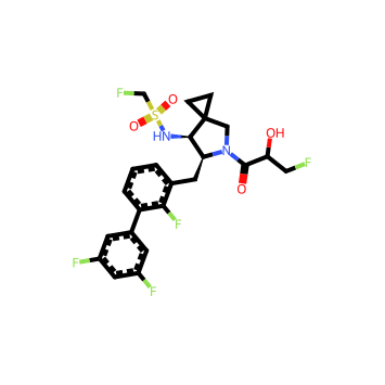 O=C(C(O)CF)N1CC2(CC2)[C@H](NS(=O)(=O)CF)[C@@H]1Cc1cccc(-c2cc(F)cc(F)c2)c1F